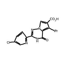 CC(C)c1c(C(=O)O)cn2nc(-c3ccc(Cl)cn3)[nH]c(=O)c12